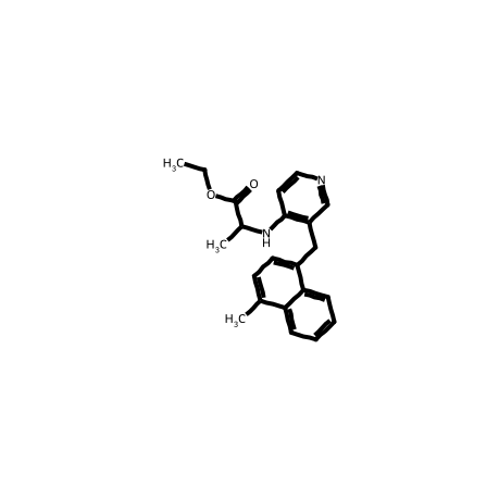 CCOC(=O)C(C)Nc1ccncc1Cc1ccc(C)c2ccccc12